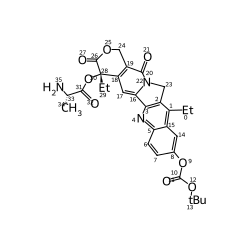 CCc1c2c(nc3ccc(OC(=O)OC(C)(C)C)cc13)-c1cc3c(c(=O)n1C2)COC(=O)[C@@]3(CC)OC(=O)[C@H](C)N